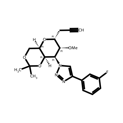 C#CC[C@H]1O[C@@H]2COC(C)(C)O[C@@H]2[C@H](n2cc(-c3cccc(F)c3)nn2)[C@H]1OC